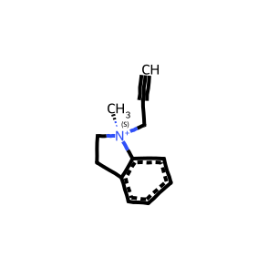 C#CC[N@+]1(C)CCc2ccccc21